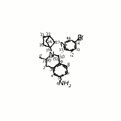 C[C@@H]1Cc2cc(N)ccc2[C@@H](c2ccc(Br)cn2)N1C12CCC(C1)C2